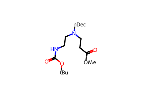 CCCCCCCCCCN(CCNC(=O)OC(C)(C)C)CCC(=O)OC